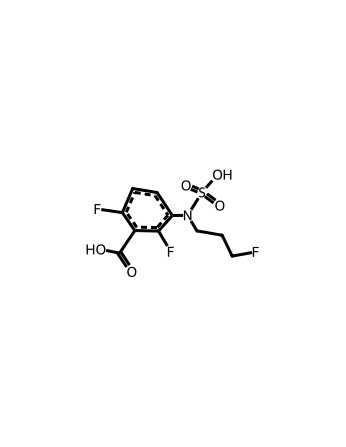 O=C(O)c1c(F)ccc(N(CCCF)S(=O)(=O)O)c1F